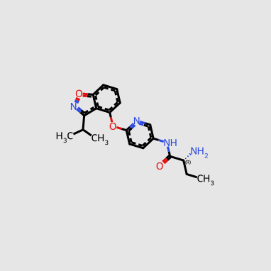 CC[C@@H](N)C(=O)Nc1ccc(Oc2cccc3onc(C(C)C)c23)nc1